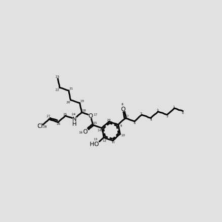 CCCCCCCC(=O)c1ccc(O)c(C(=O)OC(CCCCC)NCC=CCl)c1